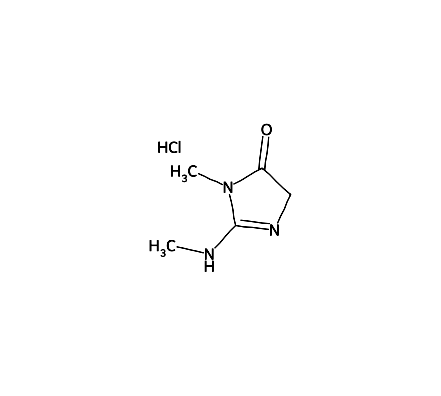 CNC1=NCC(=O)N1C.Cl